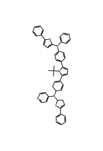 CC(C)(C)n1c(C2=CCC(N(c3ccncc3)C3CC=C(c4ccccc4)S3)C=C2)ccc1-c1ccc(N(c2ccncc2)c2ccc(-c3ccccc3)s2)cc1